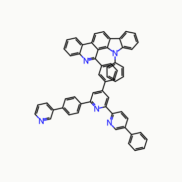 c1ccc(-c2ccc(-c3cc(-c4cccc(-c5nc6ccccc6c6ccc7c8ccccc8n(-c8ccccc8)c7c56)c4)cc(-c4ccc(-c5cccnc5)cc4)n3)nc2)cc1